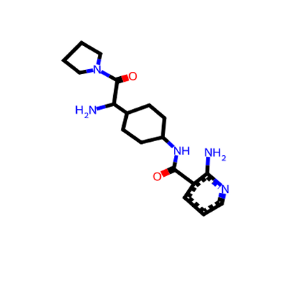 Nc1ncccc1C(=O)NC1CCC(C(N)C(=O)N2CCCC2)CC1